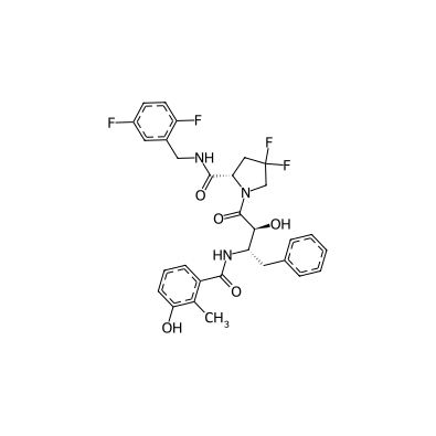 Cc1c(O)cccc1C(=O)N[C@@H](Cc1ccccc1)[C@H](O)C(=O)N1CC(F)(F)C[C@H]1C(=O)NCc1cc(F)ccc1F